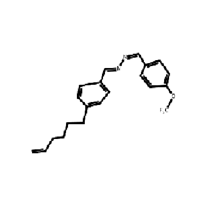 C=CCCCCc1ccc(/C=N/N=C\c2ccc(OC(F)(F)F)cc2)cc1